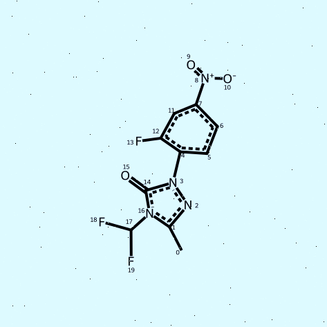 Cc1nn(-c2ccc([N+](=O)[O-])cc2F)c(=O)n1C(F)F